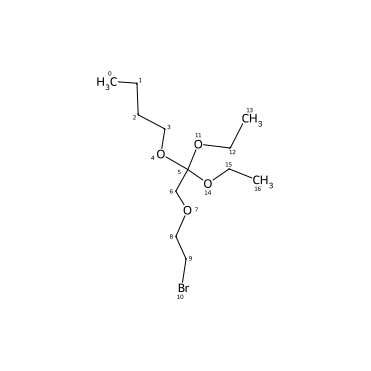 CCCCOC(COCCBr)(OCC)OCC